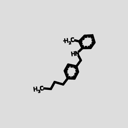 [CH2]c1ccccc1NCc1ccc(CCCC)cc1